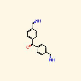 N=Cc1ccc(C(=O)c2ccc(C=N)cc2)cc1